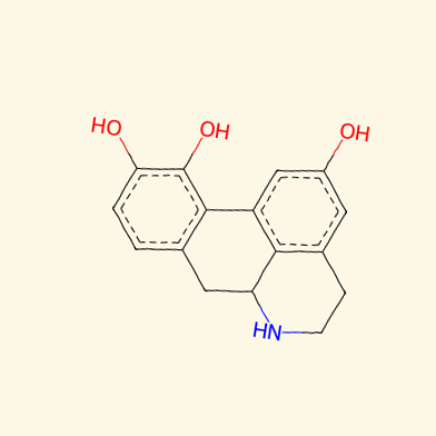 Oc1cc2c3c(c1)-c1c(ccc(O)c1O)CC3NCC2